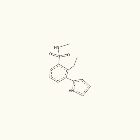 CCc1c(-c2ccc[nH]2)cccc1S(=O)(=O)NC